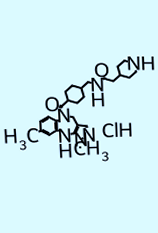 Cc1ccc2c(c1)Nc1c(cnn1C)CN2C(=O)C1CCC(CNC(=O)CC2CCNCC2)CC1.Cl